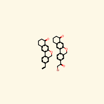 C=Cc1ccc2c(c1)COc1cc3c(cc1-2)CCCC3=O.O=C(CBr)c1ccc2c(c1)COc1cc3c(cc1-2)CCCC3=O